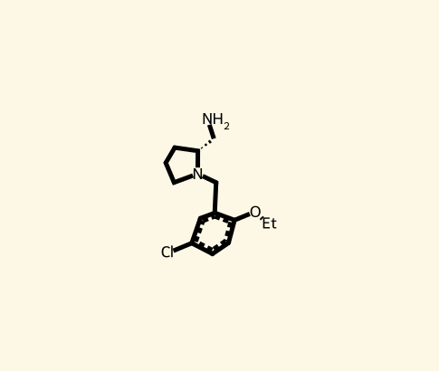 CCOc1ccc(Cl)cc1CN1CCC[C@@H]1CN